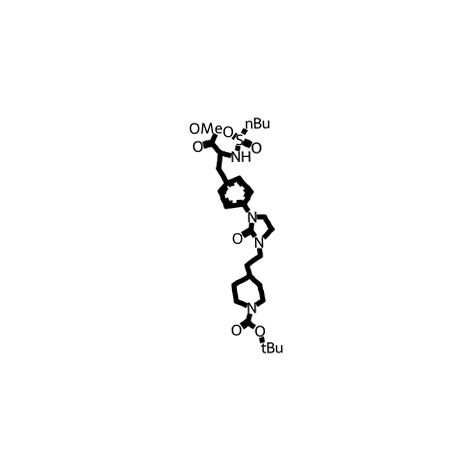 CCCCS(=O)(=O)NC(Cc1ccc(N2CCN(CCC3CCN(C(=O)OC(C)(C)C)CC3)C2=O)cc1)C(=O)OC